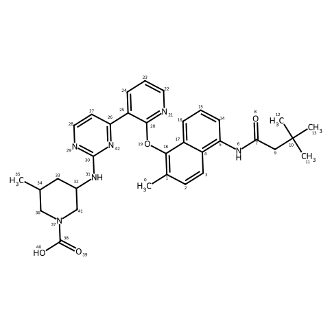 Cc1ccc2c(NC(=O)CC(C)(C)C)cccc2c1Oc1ncccc1-c1ccnc(NC2CC(C)CN(C(=O)O)C2)n1